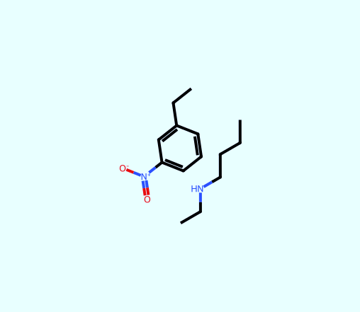 CCCCNCC.CCc1cccc([N+](=O)[O-])c1